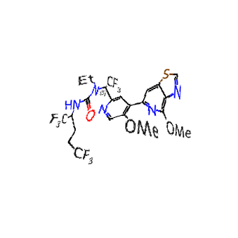 CCN(C(=O)NC(CCC(F)(F)F)C(F)(F)F)[C@@H](c1cc(-c2cc3scnc3c(OC)n2)c(OC)cn1)C(F)(F)F